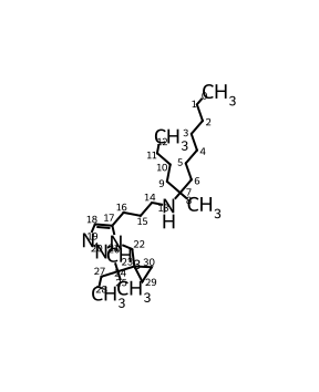 CCCCCCCC(C)(CCCC)NCCCc1cnnn1CC1(C(C)(C)CC)CC1